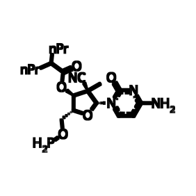 CCCC(CCC)C(=O)O[C@@H]1[C@@H](COP)O[C@@H](n2ccc(N)nc2=O)[C@]1(C)C#N